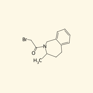 CC1CCc2ccccc2CN1C(=O)CBr